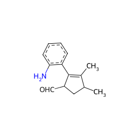 CC1=C(c2ccccc2N)C(C=O)CC1C